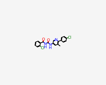 Cc1cc(NC(=O)NC(=O)c2ccccc2Cl)cnc1-c1ccc(Cl)cc1